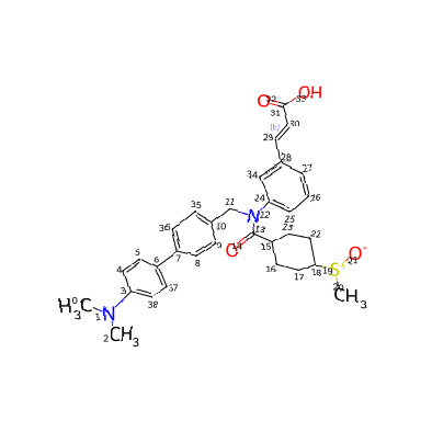 CN(C)c1ccc(-c2ccc(CN(C(=O)C3CCC([S+](C)[O-])CC3)c3cccc(/C=C/C(=O)O)c3)cc2)cc1